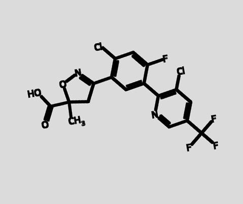 CC1(C(=O)O)CC(c2cc(-c3ncc(C(F)(F)F)cc3Cl)c(F)cc2Cl)=NO1